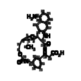 Cc1cc2ccc1CCOC(=O)Nc1cccc(c1)C(CC(=O)O)NC(=O)C2Nc1ccc2c(N)cccc2c1